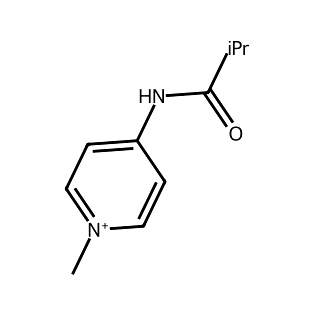 CC(C)C(=O)Nc1cc[n+](C)cc1